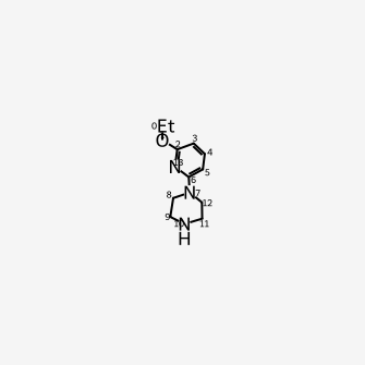 CCOc1cccc(N2CCNCC2)n1